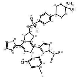 C[C@]1(O)CC[C@@H](c2ccc(S(=O)(=O)N[C@H]3CC4=C(c5ccn(C(F)F)n5)[C@H](c5ccc(F)cc5Cl)N=C(c5nccs5)N4C3)cc2)CC1